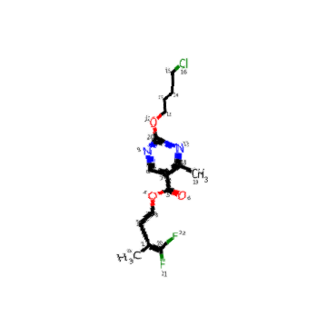 CC(CCOC(=O)c1cnc(OCCCCCl)nc1C)=C(F)F